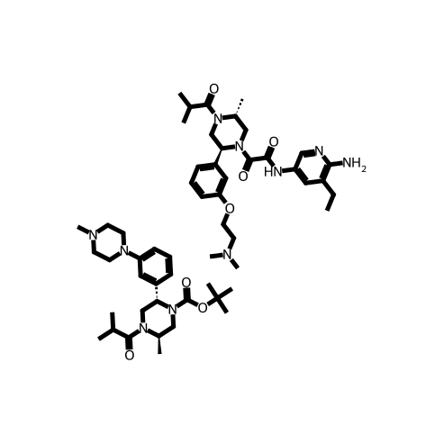 CC(C)C(=O)N1C[C@H](c2cccc(N3CCN(C)CC3)c2)N(C(=O)OC(C)(C)C)C[C@H]1C.CCc1cc(NC(=O)C(=O)N2C[C@@H](C)N(C(=O)C(C)C)C[C@@H]2c2cccc(OCCN(C)C)c2)cnc1N